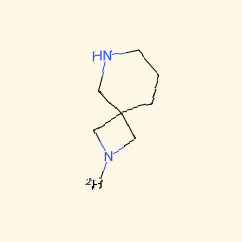 [2H]N1CC2(CCCNC2)C1